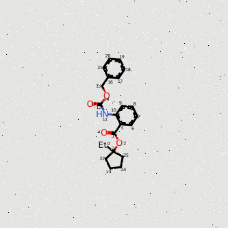 CCC1(OC(=O)c2ccccc2NC(=O)OCc2ccccc2)CCCC1